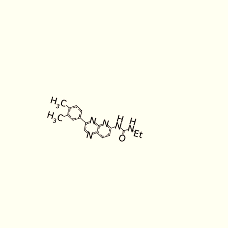 CCNC(=O)Nc1ccc2ncc(-c3ccc(C)c(C)c3)nc2n1